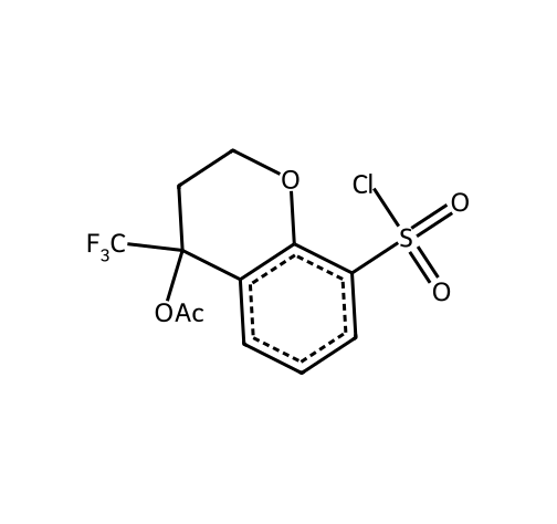 CC(=O)OC1(C(F)(F)F)CCOc2c1cccc2S(=O)(=O)Cl